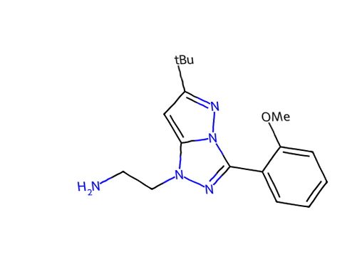 COc1ccccc1-c1nn(CCN)c2cc(C(C)(C)C)nn12